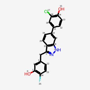 Oc1cc(Cc2n[nH]c3cc(-c4ccc(O)c(Cl)c4)ccc23)ccc1F